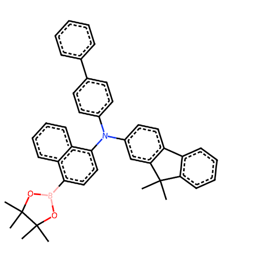 CC1(C)c2ccccc2-c2ccc(N(c3ccc(-c4ccccc4)cc3)c3ccc(B4OC(C)(C)C(C)(C)O4)c4ccccc34)cc21